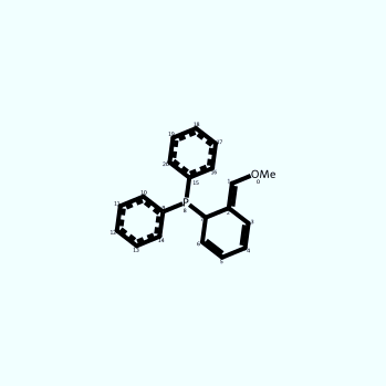 COC=C1C=CC=CC1P(c1ccccc1)c1ccccc1